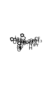 CC(C)[C@H](NC(=O)[C@H](C)NC[C@H](Cc1ccccc1)NC(=O)c1cc(C(=O)N[C@H](C)c2ccccc2)cc(N(C)S(C)(=O)=O)c1)C(=O)NCC(F)(F)F